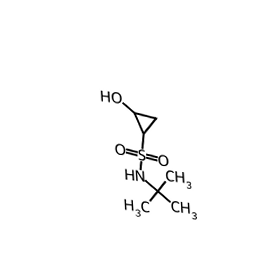 CC(C)(C)NS(=O)(=O)C1CC1O